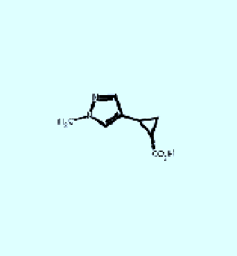 Cn1cc(C2CC2C(=O)O)cn1